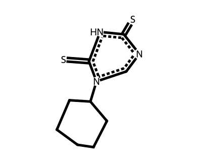 S=c1ncn(C2CCCCC2)c(=S)[nH]1